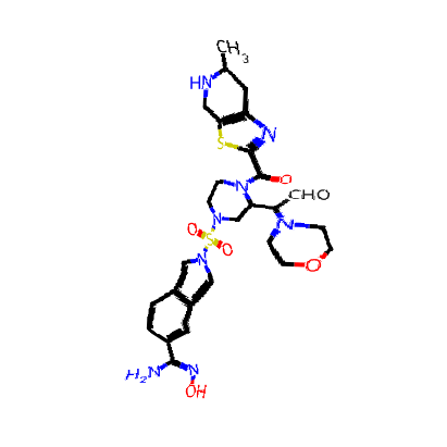 CC1Cc2nc(C(=O)N3CCN(S(=O)(=O)n4cc5ccc(C(N)=NO)cc5c4)CC3C(C=O)N3CCOCC3)sc2CN1